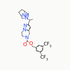 CC(c1cc2n(n1)CCN(C(=O)OCc1cc(C(F)(F)F)cc(C(F)(F)F)c1)C2)N1CC2CCC(C1)N2